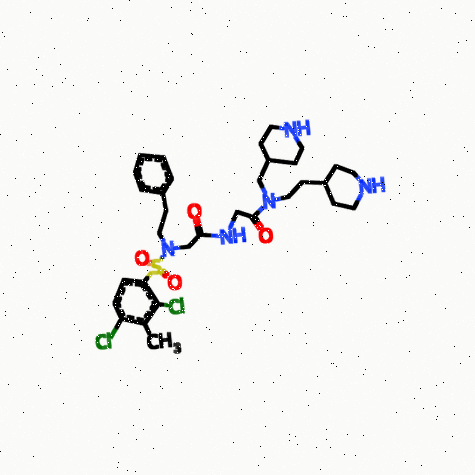 Cc1c(Cl)ccc(S(=O)(=O)N(CCc2ccccc2)CC(=O)NCC(=O)N(CCC2CCNCC2)CC2CCNCC2)c1Cl